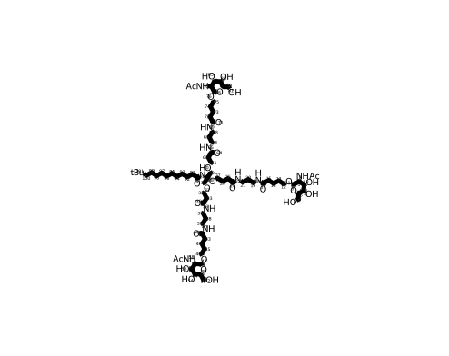 CC(=O)NC1C(O)[C@H](O)C(CO)O[C@H]1OCCCCC(=O)NCCCNC(=O)CCCOC(COCCC(=O)NCCCNC(=O)CCCCO[C@@H]1OC(CO)[C@@H](O)C(O)C1NC(C)=O)(COCCC(=O)NCCCNC(=O)CCCCO[C@@H]1OC(CO)[C@@H](O)C(O)C1NC(C)=O)NC(=O)CCCCCCCCCCC(C)(C)C